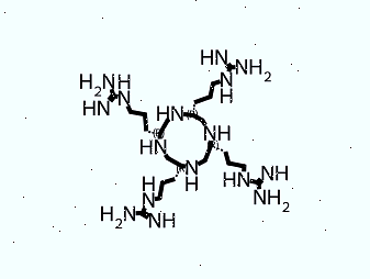 N=C(N)NCCC[C@@H]1CN[C@H](CCCNC(=N)N)CN[C@H](CCCNC(=N)N)CN[C@H](CCCNC(=N)N)CN1